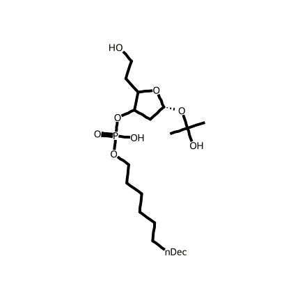 CCCCCCCCCCCCCCCCOP(=O)(O)OC1C[C@@H](OC(C)(C)O)OC1CCO